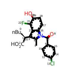 CCCC[C@H](C(=O)O)c1c(C)n(C(=O)c2ccc(Cl)cc2)c2ccc(O)c(F)c12